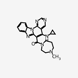 CN1CCCN(C(=O)c2c(NC3CC3)c3cncnc3n3c2nc2ccccc23)CC1